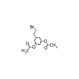 CC(=O)Oc1cc(CCBr)cc(OC(C)=O)c1